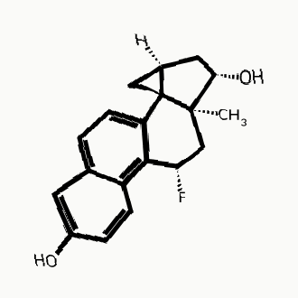 C[C@]12C[C@H](F)c3c(ccc4cc(O)ccc34)[C@@]13C[C@H]3C[C@@H]2O